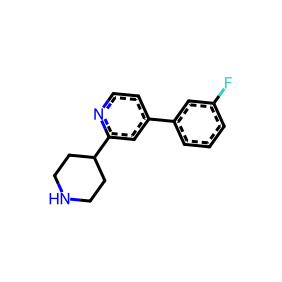 Fc1cccc(-c2ccnc(C3CCNCC3)c2)c1